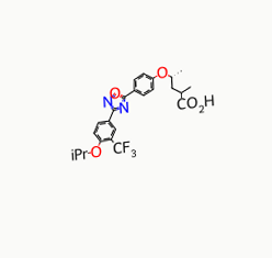 CC(C)Oc1ccc(-c2noc(-c3ccc(O[C@H](C)CC(C)C(=O)O)cc3)n2)cc1C(F)(F)F